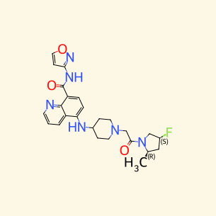 C[C@@H]1C[C@H](F)CN1C(=O)CN1CCC(Nc2ccc(C(=O)Nc3ccon3)c3ncccc23)CC1